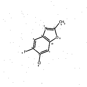 Cc1nc2cc(F)c(Cl)cc2o1